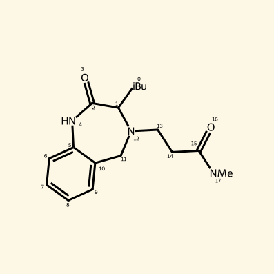 CCC(C)C1C(=O)Nc2ccccc2CN1CCC(=O)NC